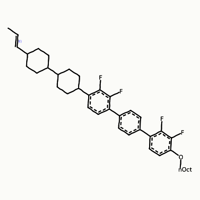 C/C=C/C1CCC(C2CCC(c3ccc(-c4ccc(-c5ccc(OCCCCCCCC)c(F)c5F)cc4)c(F)c3F)CC2)CC1